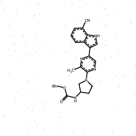 Cc1nc(-c2c[nH]c3c(C#N)cccc23)cnc1N1CCC(NC(=O)OC(C)(C)C)C1